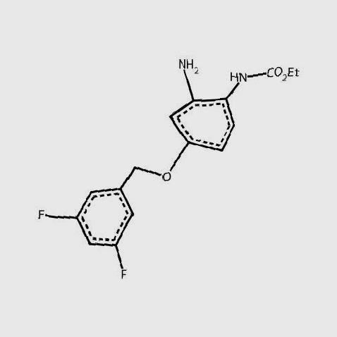 CCOC(=O)Nc1ccc(OCc2cc(F)cc(F)c2)cc1N